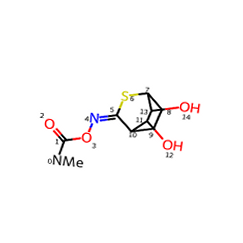 CNC(=O)O/N=C1/SC2CCC1C(O)C2O